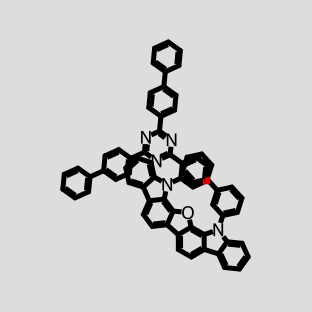 c1ccc(-c2ccc(-c3nc(-c4ccc(-c5ccccc5)cc4)nc(-c4ccccc4-n4c5ccccc5c5ccc6c7ccc8c9ccccc9n(-c9cccc(-c%10ccccc%10)c9)c8c7oc6c54)n3)cc2)cc1